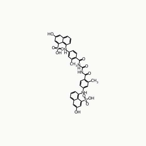 Cc1cc(Nc2cccc3cc(O)cc(S(=O)(=O)O)c23)ccc1C(=O)NC(=O)NC(=O)c1ccc(Nc2cccc3cc(O)cc(S(=O)(=O)O)c23)cc1C